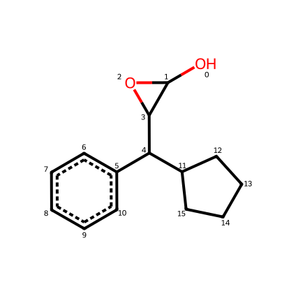 OC1OC1C(c1ccccc1)C1CCCC1